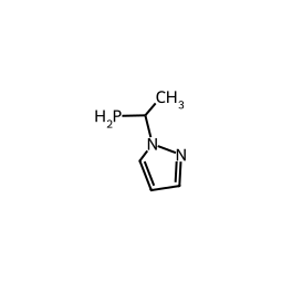 CC(P)n1cccn1